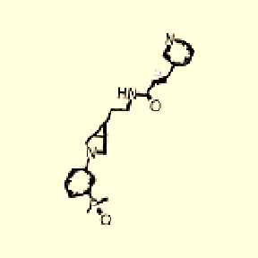 CP(C)(=O)c1cccc(N2CC3C(CCNC(=O)/C=C/c4cccnc4)C3C2)c1